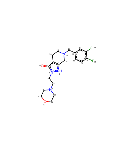 O=c1c2c([nH]n1CCN1CCOCC1)CN(Cc1ccc(F)c(Cl)c1)CC2